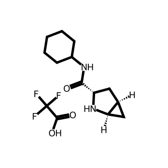 O=C(NC1CCCCC1)[C@@H]1C[C@H]2C[C@H]2N1.O=C(O)C(F)(F)F